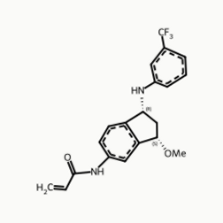 C=CC(=O)Nc1ccc2c(c1)[C@@H](OC)C[C@H]2Nc1cccc(C(F)(F)F)c1